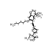 CCCCCCSc1cc2c(cc1C#Cc1ccc(C(CC)C(=O)O)s1)C(C)(C)CCO2